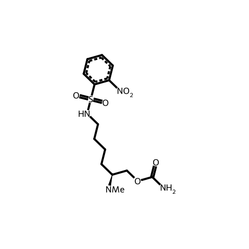 CN[C@@H](CCCCNS(=O)(=O)c1ccccc1[N+](=O)[O-])COC(N)=O